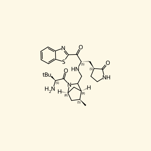 C[C@H]1C[C@@H]2C[C@H]1C(CN[C@@H](C[C@@H]1CCNC1=O)C(=O)c1nc3ccccc3s1)N2C(=O)[C@@H](N)C(C)(C)C